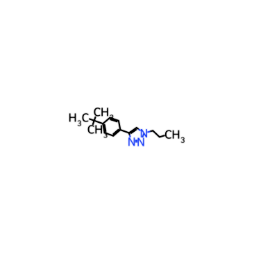 CCCn1cc(-c2ccc(C(C)(C)C)cc2)nn1